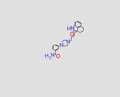 NC(=O)c1cccc(N2CCN(CCCCC34CCCc5cccc(c53)NC4=O)CC2)c1